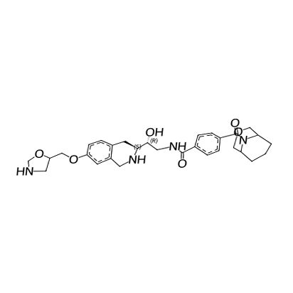 O=C(NC[C@@H](O)[C@@H]1Cc2ccc(OCC3CNCO3)cc2CN1)c1ccc(C(=O)N2C3CCCC2COC3)cc1